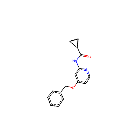 O=C(Nc1cc(OCc2ccccc2)ccn1)C1CC1